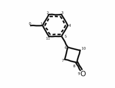 Cc1cccc(C2CC(=O)C2)c1